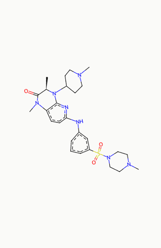 C[C@@H]1C(=O)N(C)c2ccc(Nc3cccc(S(=O)(=O)N4CCN(C)CC4)c3)nc2N1C1CCN(C)CC1